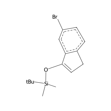 CC(C)(C)[Si](C)(C)OC1=CCc2ccc(Br)cc21